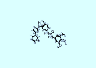 COc1cc(NC(=O)Nc2ccc(C)c(Nc3nc(-c4cccnc4)cs3)c2)cc(OC)c1OC